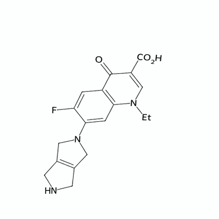 CCn1cc(C(=O)O)c(=O)c2cc(F)c(N3CC4=C(CNC4)C3)cc21